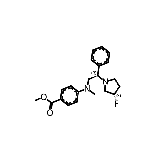 COC(=O)c1ccc(N(C)C[C@@H](c2ccccc2)N2CC[C@H](F)C2)cc1